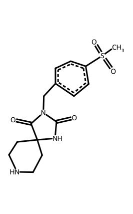 CS(=O)(=O)c1ccc(CN2C(=O)NC3(CCNCC3)C2=O)cc1